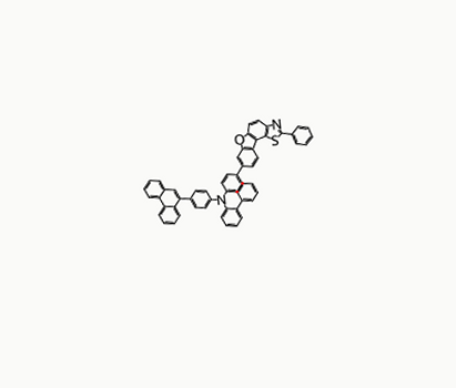 c1ccc(-c2nc3ccc4oc5cc(-c6ccc(N(c7ccc(-c8cc9ccccc9c9ccccc89)cc7)c7ccccc7-c7ccccc7)cc6)ccc5c4c3s2)cc1